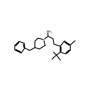 [CH2]c1ccc(C(C)(C)C)c(CCC(N)N2CCC(Cc3ccccc3)CC2)c1